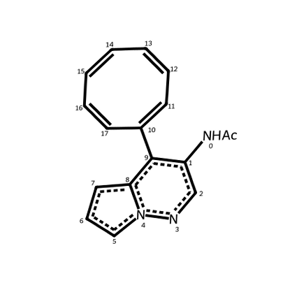 CC(=O)Nc1cnn2cccc2c1C1=C/C=C\C=C/C=C\1